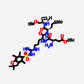 CSCC[C@H](NC(=O)[C@H](CCCNC(=N)NS(=O)(=O)c1c(C)c(C)c2c(c1C)CC(C)(C)O2)NC(=O)[C@@H](N)CCC(=O)OC(C)(C)C)C(=O)N[C@@H](COC(C)(C)C)C(=O)O